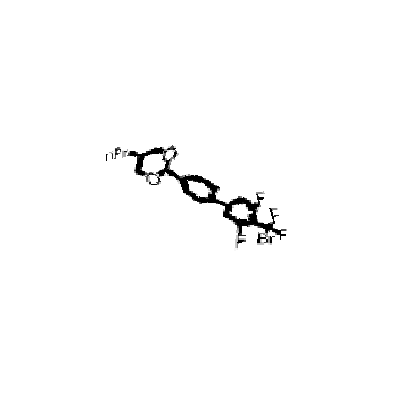 CCCC1COC(c2ccc(-c3cc(F)c(C(F)(F)Br)c(F)c3)cc2)OC1